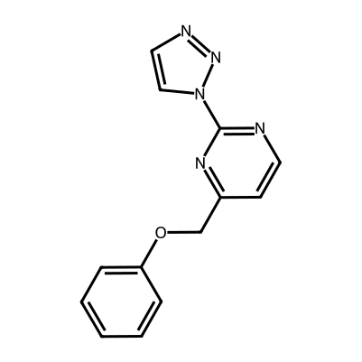 c1ccc(OCc2ccnc(-n3ccnn3)n2)cc1